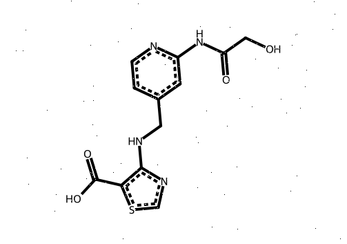 O=C(CO)Nc1cc(CNc2ncsc2C(=O)O)ccn1